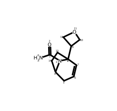 NC(=O)N1C2CC=CC1(C1COC1)CC2